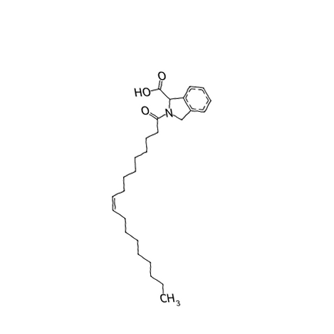 CCCCCCCC/C=C\CCCCCCCC(=O)N1Cc2ccccc2C1C(=O)O